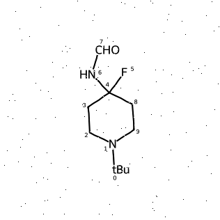 CC(C)(C)N1CCC(F)(NC=O)CC1